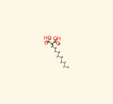 CCCCCCCCCC=C(C(=O)O)C(=O)O